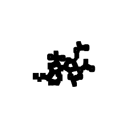 CC(=O)OC[C@H]1OC(n2c(S(C)(=O)=O)nc3c(N)ncnc32)[C@H](OC(C)=O)[C@@H]1OC(C)=O